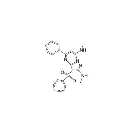 CNc1nn2c(NC)cc(-c3ccccc3)nc2c1S(=O)(=O)c1ccccc1